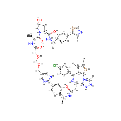 Cc1ncsc1-c1ccc([C@H](C)NC(=O)[C@@H]2C[C@@H](O)CN2C(=O)C(NC(=O)COCOCc2cnc(-c3ccc([C@H](C)NC(=O)C[C@@H]4N=C(c5ccc(Cl)cc5)c5c(sc(C)c5C)-n5c(C)nnc54)cc3)nc2)C(C)(C)C)cc1